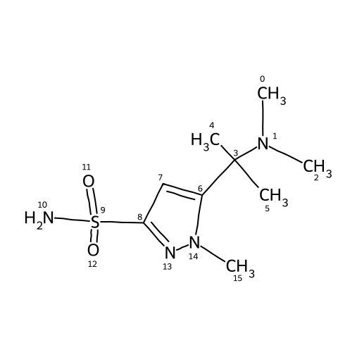 CN(C)C(C)(C)c1cc(S(N)(=O)=O)nn1C